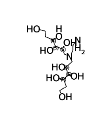 NCCN(C[C@H](O)[C@@H](O)[C@H](O)CCO)C[C@H](O)[C@@H](O)[C@H](O)CCO